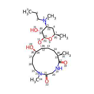 CCCN(C)[C@H]1C[C@@H](C)O[C@@H](O[C@@H]2CC[C@@H](C)C(=O)NCC(=O)N(C)CCC[C@H]2O)[C@@H]1O